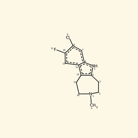 CN1CCc2[nH]c3cc(Cl)c(F)cc3c2CC1